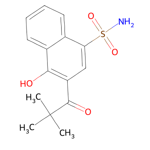 CC(C)(C)C(=O)c1cc(S(N)(=O)=O)c2ccccc2c1O